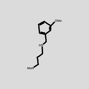 CNCCCNCc1cccc(OC)c1